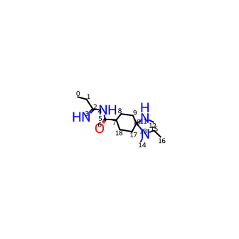 CCC(=N)NC(=O)C1CCC(NC)(N(C)CC)CC1